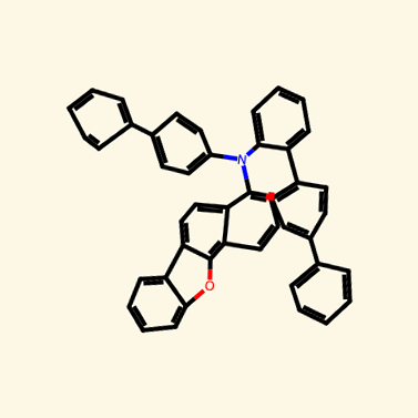 c1ccc(-c2ccc(-c3ccccc3N(c3ccc(-c4ccccc4)cc3)c3cccc4c3ccc3c5ccccc5oc43)cc2)cc1